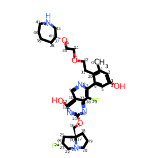 Cc1cc(O)cc(-c2ncc3c(O)nc(OC[C@@]45CCCN4C[C@H](F)C5)nc3c2F)c1CCOCCO[C@@H]1CCCCNC1